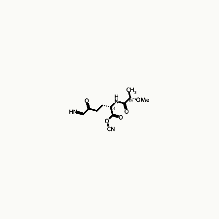 CO[C@@H](C)C(=O)N[C@@H](CCC(=O)C=N)C(=O)OC#N